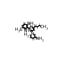 CCCCc1cc(N2CCCC(N)C2)nc(-c2c(N)ccc(C)c2N)n1